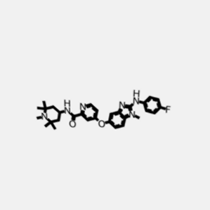 CN1C(C)(C)CC(NC(=O)c2cc(Oc3ccc4c(c3)nc(Nc3ccc(F)cc3)n4C)ccn2)CC1(C)C